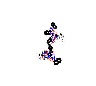 C[C@@H](C(=O)N[C@@H](Cc1ccc(/C=C/c2ccc(C(=O)N[C@H]3C[C@@H](C(=O)N[C@@H]4CCCc5ccccc54)N(C(=O)[C@@H](NC(=O)[C@H](C)N(C)C(=O)OC(C)(C)C)C(C)(C)C)C3)cc2)cc1)C(=O)N1Cc2ccccc2C[C@H]1C(=O)N[C@@H]1CCCc2ccccc21)N(C)C(=O)OC(C)(C)C